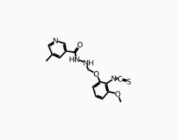 COc1cccc(OCNNC(=O)c2cncc(C)c2)c1N=C=S